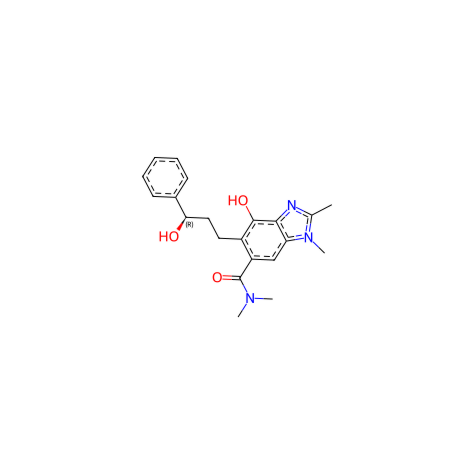 Cc1nc2c(O)c(CC[C@@H](O)c3ccccc3)c(C(=O)N(C)C)cc2n1C